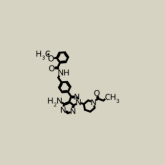 CCC(=O)N1CCCC(n2nc(-c3ccc(CNC(=O)c4ccccc4OC)cc3)c3c(N)ncnc32)C1